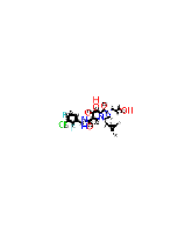 CC1C(C[C@@H]2CN(CCCO)C(=O)c3c(O)c(=O)c(C(=O)NCc4ccc(F)c(Cl)c4F)cn32)[C@H]1C